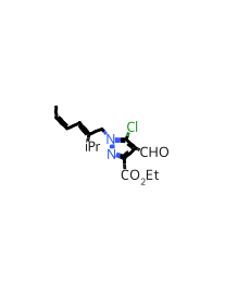 C/C=C\C=C(\Cn1nc(C(=O)OCC)c(C=O)c1Cl)C(C)C